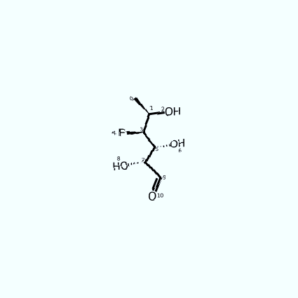 C[C@@H](O)[C@H](F)[C@H](O)[C@@H](O)C=O